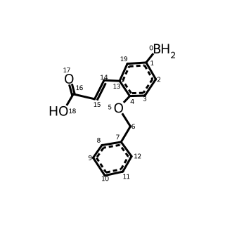 Bc1ccc(OCc2ccccc2)c(/C=C/C(=O)O)c1